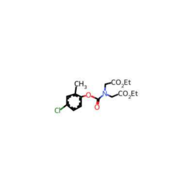 CCOC(=O)CN(CC(=O)OCC)C(=O)Oc1ccc(Cl)cc1C